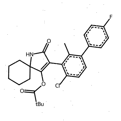 Cc1c(-c2ccc(F)cc2)ccc(Cl)c1C1=C(OC(=O)C(C)(C)C)C2(CCCCC2)NC1=O